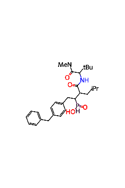 CNC(=O)C(NC(=O)C(CC(C)C)C(Cc1ccc(Cc2ccccc2)cc1)[PH](=O)O)C(C)(C)C